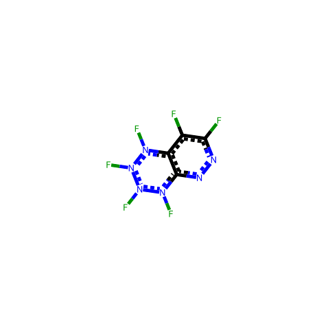 Fc1nnc2c(c1F)n(F)n(F)n(F)n2F